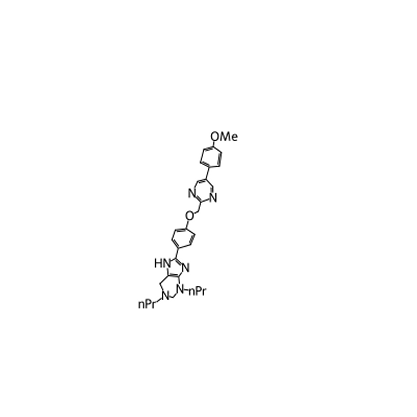 CCCN1Cc2[nH]c(-c3ccc(OCc4ncc(-c5ccc(OC)cc5)cn4)cc3)nc2N(CCC)C1